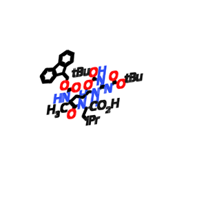 CC(C)C[C@H](NC(=O)[C@](C)(CCCN/C(=N/C(=O)OC(C)(C)C)NC(=O)OC(C)(C)C)NC(=O)OCC1c2ccccc2-c2ccccc21)C(=O)O